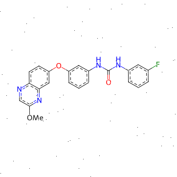 COc1cnc2ccc(Oc3cccc(NC(=O)Nc4cccc(F)c4)c3)cc2n1